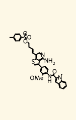 COc1cc(-c2csc3c(C=CCCOS(=O)(=O)c4ccc(C)cc4)cnc(N)c23)ccc1NC(=O)c1cc2ccccc2n1C